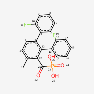 Cc1ccc(-c2ccccc2F)c(-c2ccccc2F)c1C(=O)P(=O)(O)O